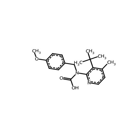 COc1ccc(CN(C(=O)O)c2nccc(C)c2C(C)(C)C)cc1